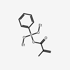 C=C(C)C(=O)OS(OCC)(OCC)c1ccccc1